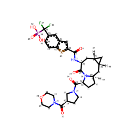 O=C(N[C@H]1C[C@@H]2C[C@@H]2C[C@H]2CC[C@@H](C(=O)N3CC[C@@H](C(=O)N4CCOCC4)C3)N2C1=O)c1cc2cc(C(F)(F)P(=O)(O)O)ccc2s1